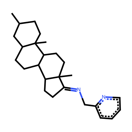 CC1CCC2(C)C(CCC3C4CC/C(=N\Cc5ccccn5)C4(C)CCC32)C1